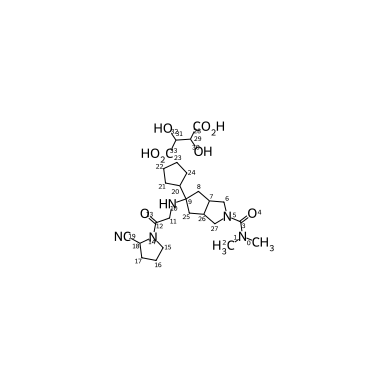 CN(C)C(=O)N1CC2CC(NCC(=O)N3CCCC3C#N)(C3CCCC3)CC2C1.O=C(O)C(O)C(O)C(=O)O